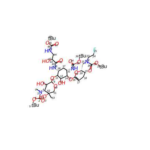 CN(C(=O)OC(C)(C)C)[C@@H]1C(O)[C@@H](OC2C(O)C(OC3=CCC[C@@H](CN(CCF)C(=O)OC(C)(C)C)O3)[C@@H](NC(=O)OC(C)(C)C)C[C@H]2NC(=O)[C@@H](O)CNC(=O)OC(C)(C)C)OCC1(C)O